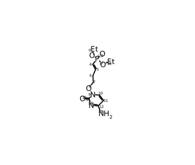 CCOP(=O)(/C=C/CCOn1ccc(N)nc1=O)OCC